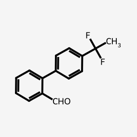 CC(F)(F)c1ccc(-c2ccccc2C=O)cc1